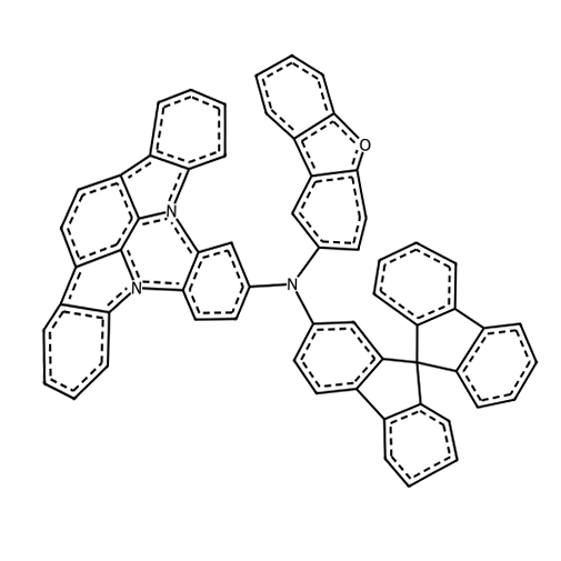 c1ccc2c(c1)-c1ccccc1C21c2ccccc2-c2ccc(N(c3ccc4oc5ccccc5c4c3)c3ccc4c(c3)n3c5ccccc5c5ccc6c7ccccc7n4c6c53)cc21